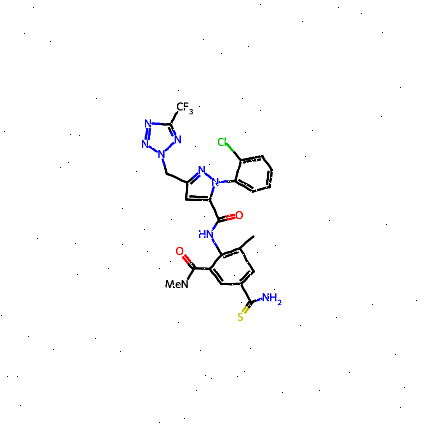 CNC(=O)c1cc(C(N)=S)cc(C)c1NC(=O)c1cc(Cn2nnc(C(F)(F)F)n2)nn1-c1ccccc1Cl